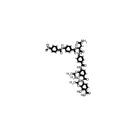 CC(C)Oc1c(NC(=O)c2ccc(NC(=O)c3ccc(NC(=O)C(CC(N)=O)NC(=O)c4ccc(NC(=O)c5ccc([N+](=O)[O-])cc5)cc4)cc3)c(OC(C)C)c2O)ccc(C(=O)O)c1O